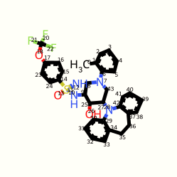 Cc1ccccc1N1CC(NS(=N)(=O)c2ccc(OC(F)(F)F)cc2)C(O)C(N2c3ccccc3CCc3ccccc32)C1